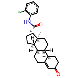 C[C@]12CC[C@H]3[C@@H](CCC4=CC(=O)CC[C@@]43C)[C@@H]1CC[C@@H]2C(=O)Nc1ccccc1F